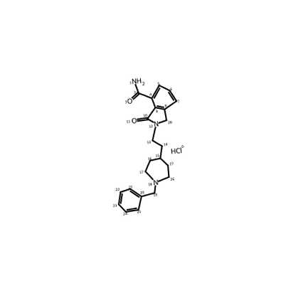 Cl.NC(=O)c1cccc2c1C(=O)N(CCC1CCN(Cc3ccccc3)CC1)C2